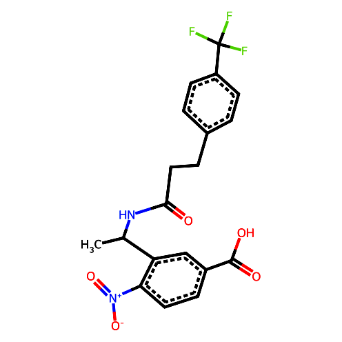 CC(NC(=O)CCc1ccc(C(F)(F)F)cc1)c1cc(C(=O)O)ccc1[N+](=O)[O-]